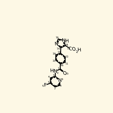 O=C(Nc1cc(F)ccn1)c1ccc(-c2nc[nH]c2C(=O)O)cc1